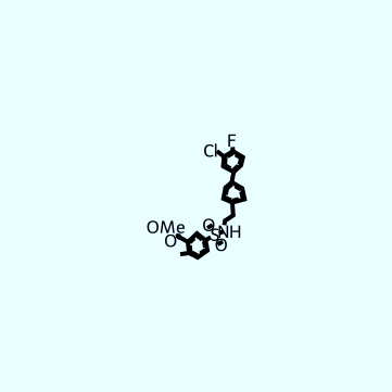 COC(=O)c1cc(S(=O)(=O)NCCc2ccc(-c3ccc(F)c(Cl)c3)cc2)ccc1C